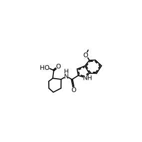 COc1cccc2[nH]c(C(=O)NC3CCCCC3C(=O)O)cc12